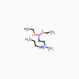 CCC[SiH3].CCON(CCNC)OCC